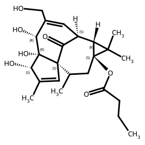 CCCC(=O)O[C@@]12CC(C)[C@]34C=C(C)[C@H](O)[C@@]3(O)[C@H](O)C(CO)=C[C@H](C4=O)[C@@H]1C2(C)C